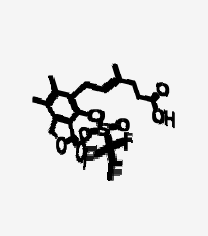 C/C(=C\Cc1c(C)c(C)c2c(c1OS(=O)(=O)C(F)(F)F)C(=O)OC2)CCC(=O)O